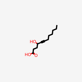 CCCCCCC#CC(O)CCC(=O)O